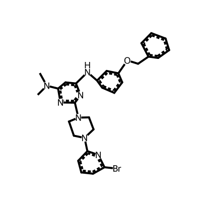 CN(C)c1cc(Nc2cccc(OCc3ccccc3)c2)nc(N2CCN(c3cccc(Br)n3)CC2)n1